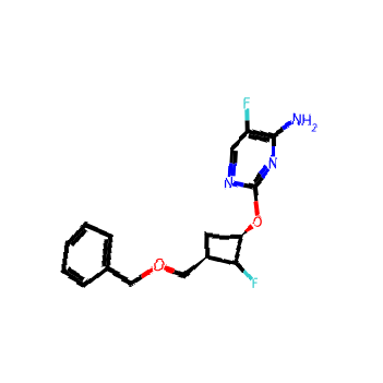 Nc1nc(O[C@@H]2C[C@H](COCc3ccccc3)C2F)ncc1F